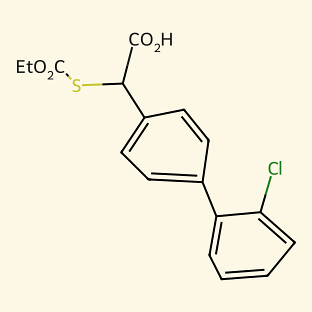 CCOC(=O)SC(C(=O)O)c1ccc(-c2ccccc2Cl)cc1